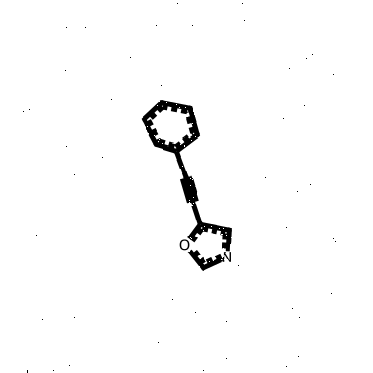 C(#Cc1cnco1)c1ccccc1